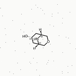 O[C@H]1C[C@H]2COC[C@@H](C1)N2